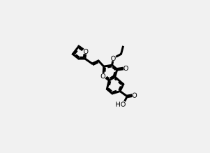 CCOc1c(/C=C/c2ccco2)oc2ccc(C(=O)O)cc2c1=O